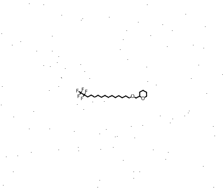 FC(F)(F)C(F)(F)CCCCCCCCCCCCCOCC1CCCCO1